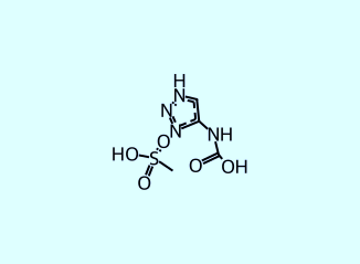 CS(=O)(=O)O.O=C(O)Nc1c[nH]nn1